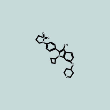 N#Cc1c(-c2ccc(N3CCCS3(=O)=O)cc2)n(C2CCC2)c2cc(OC3CCOCC3)ccc12